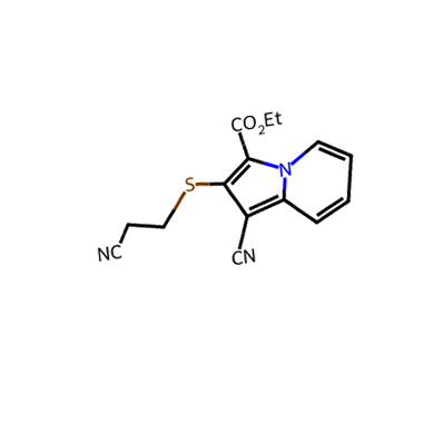 CCOC(=O)c1c(SCCC#N)c(C#N)c2ccccn12